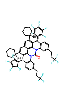 BC1(c2cc3cc(C4(B)CCCCC4)c4c5c3c3c2B(C2=C(F)C(F)=C(F)C2F)c2ccc(CCC(F)(F)F)cc2N3C(=O)N5c2cc(CCC(F)(F)F)ccc2B4c2c(F)c(F)c(F)c(F)c2F)CCCCC1